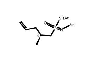 C=CC[C@H](C)CS(=O)(=NC(C)=O)NC(C)=O